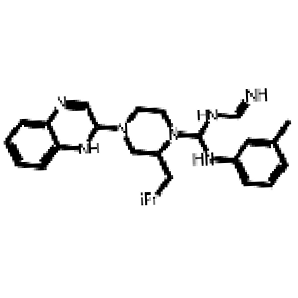 Cc1cccc(NC(NC=N)N2CCN(C3C=Nc4ccccc4N3)CC2CC(C)C)c1